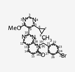 COc1ncnc(C2CC2)c1-c1ncc2ccc(=O)n([C@H](C)c3ccc(Br)cc3)c2n1